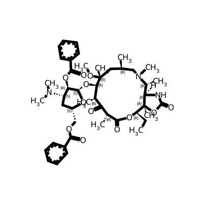 CC[C@H]1OC(=O)[C@H](C)C(=O)[C@H](C)[C@@H](O[C@@H]2O[C@H](COC(=O)c3ccccc3)C[C@H](N(C)C)[C@H]2OC(=O)c2ccccc2)[C@](C)(OC)C[C@@H](C)CN(C)[C@H](C)[C@H]2NC(=O)O[C@]21C